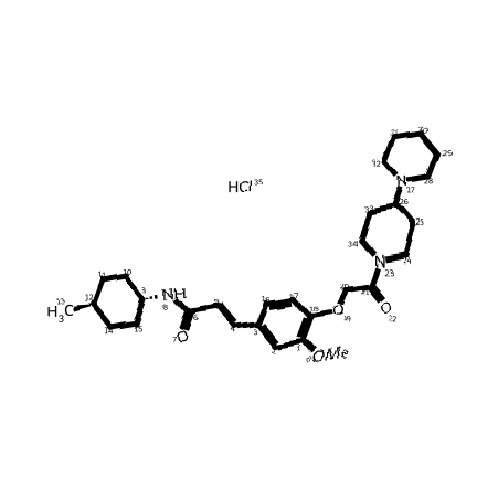 COc1cc(/C=C/C(=O)N[C@H]2CC[C@H](C)CC2)ccc1OCC(=O)N1CCC(N2CCCCC2)CC1.Cl